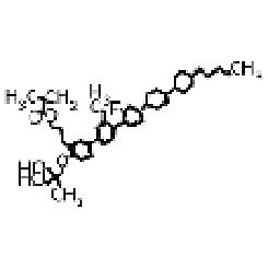 C=C(C)C(=O)OCCCc1cc(-c2ccc(-c3ccc(C4CCC(C5CCC(CCCCC)CC5)CC4)cc3F)c(CC)c2)ccc1OCC(CC)(CO)CO